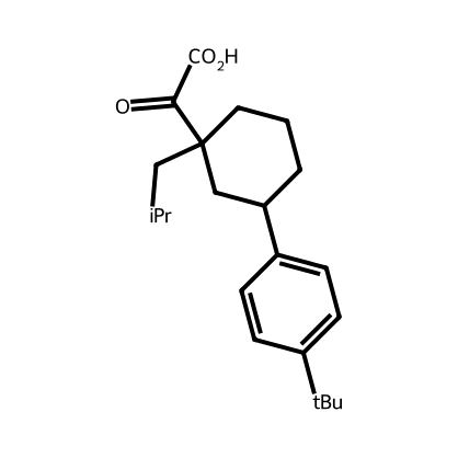 CC(C)CC1(C(=O)C(=O)O)CCCC(c2ccc(C(C)(C)C)cc2)C1